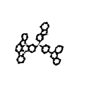 c1ccc2c(c1)cc(-c1ccc(N(c3ccc4c(c3)oc3ccccc34)c3ccc4c(c3)n3c5ccccc5c5ccc6c7ccccc7n4c6c53)cc1)c1ccccc12